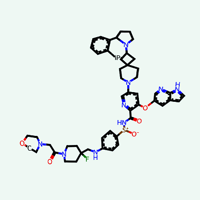 CC(C)c1ccccc1C1CCCN1C1CC2(CCN(c3cnc(C(=O)N[S+]([O-])c4ccc(NCC5(F)CCN(C(=O)CN6CCOCC6)CC5)cc4)c(Oc4cnc5[nH]ccc5c4)c3)CC2)C1